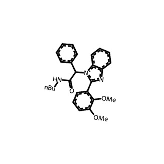 CCCCNC(=O)C(c1ccccc1)n1c(-c2cccc(OC)c2OC)nc2ccccc21